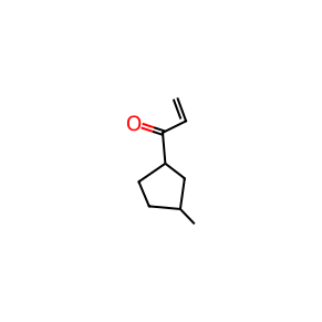 C=CC(=O)C1CCC(C)C1